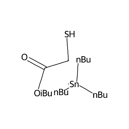 CC(C)COC(=O)CS.CCC[CH2][Sn]([CH2]CCC)[CH2]CCC